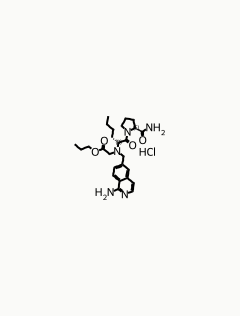 CCCC[C@H](C(=O)N1CCC[C@H]1C(N)=O)N(CC(=O)OCCC)Cc1ccc2c(N)nccc2c1.Cl